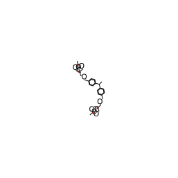 CC(c1ccc(COCC23COC(C)(OC2)OC3)cc1)c1ccc(COCC23COC(C)(OC2)OC3)cc1